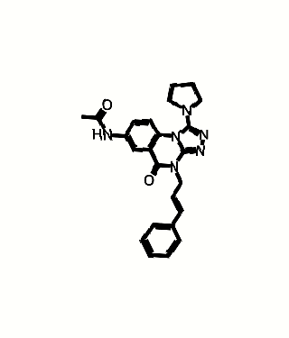 CC(=O)Nc1ccc2c(c1)c(=O)n(C/C=C/c1ccccc1)c1nnc(N3CCCC3)n21